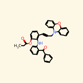 CCC(=O)Oc1cccc(C#CCN2c3ccccc3Oc3ccccc32)c1Nc1ccccc1C(=O)c1ccccc1